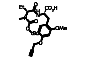 C#CCOc1ccc(C[C@H](NC(=O)[C@H](CC)N(C)C(=O)OC(C)(C)C)C(=O)O)c(OC)c1